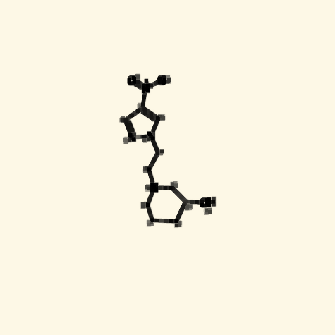 O=[N+]([O-])c1cnn(CCN2CCCC(O)C2)c1